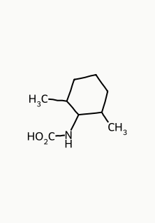 CC1CCCC(C)C1NC(=O)O